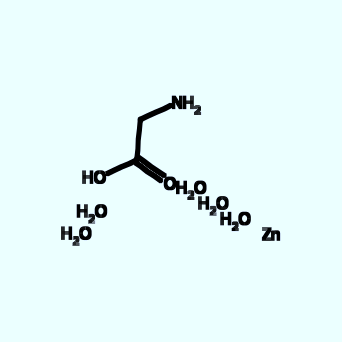 NCC(=O)O.O.O.O.O.O.[Zn]